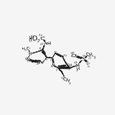 Cc1nc(-c2nnn(C)c2NC(=O)O)ccc1NS(C)(=O)=O